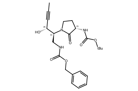 CC#C[C@@H](O)[C@H](CNC(=O)OCc1ccccc1)N1CC[C@H](NC(=O)OC(C)(C)C)C1=O